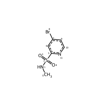 CNS(=O)(=O)c1cc(Br)ccn1